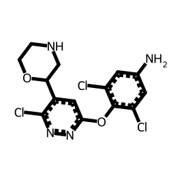 Nc1cc(Cl)c(Oc2cc(C3CNCCO3)c(Cl)nn2)c(Cl)c1